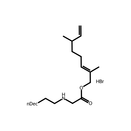 Br.C=CC(C)CCC=C(C)COC(=O)CNCCCCCCCCCCCC